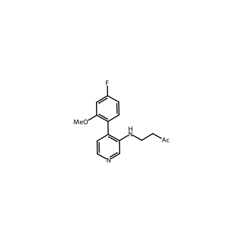 COc1cc(F)ccc1-c1ccncc1NCCC(C)=O